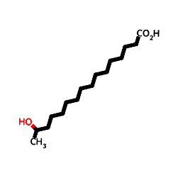 CC(O)CCCCCCCCCCCCCC(=O)O